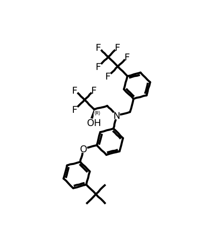 CC(C)(C)c1cccc(Oc2cccc(N(Cc3cccc(C(F)(F)C(F)(F)F)c3)C[C@@H](O)C(F)(F)F)c2)c1